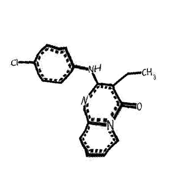 CCc1c(Nc2ccc(Cl)cc2)nc2ccccn2c1=O